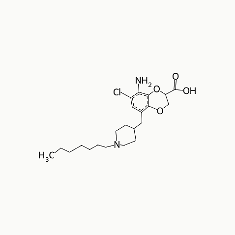 CCCCCCCN1CCC(Cc2cc(Cl)c(N)c3c2OCC(C(=O)O)O3)CC1